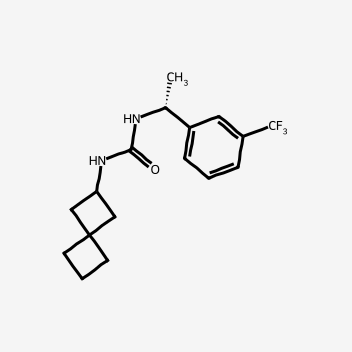 C[C@@H](NC(=O)NC1CC2(CCC2)C1)c1cccc(C(F)(F)F)c1